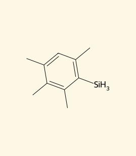 Cc1cc(C)c([SiH3])c(C)c1C